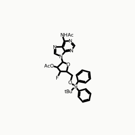 CC(=O)Nc1ncnc2c1ncn2C1OC(CO[Si](c2ccccc2)(c2ccccc2)C(C)(C)C)C(F)C1OC(C)=O